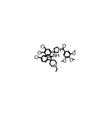 CCN1CCC(C(=O)NC2(c3ccc(Cl)c(Cl)c3)CCN(C(=O)c3cc(OC)c(OC)c(OC)c3)C2)(c2ccc(Cl)cc2)CC1